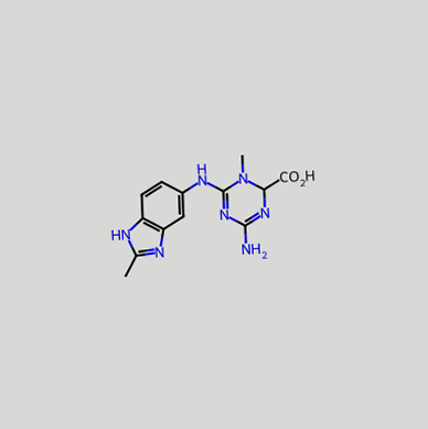 Cc1nc2cc(NC3=NC(N)=NC(C(=O)O)N3C)ccc2[nH]1